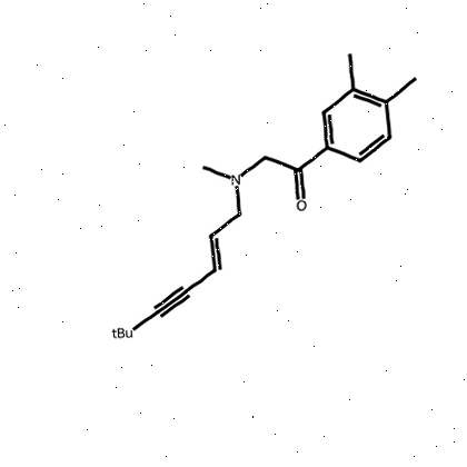 Cc1ccc(C(=O)CN(C)CC=CC#CC(C)(C)C)cc1C